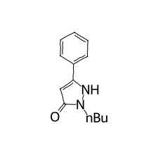 CCCCn1[nH]c(-c2ccccc2)cc1=O